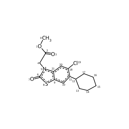 COC(=O)Cn1c(=O)sc2cc(C3CCCCC3)c(Cl)cc21